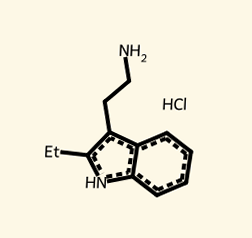 CCc1[nH]c2ccccc2c1CCN.Cl